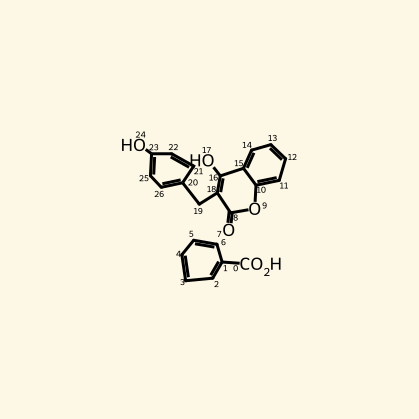 O=C(O)c1ccccc1.O=c1oc2ccccc2c(O)c1Cc1ccc(O)cc1